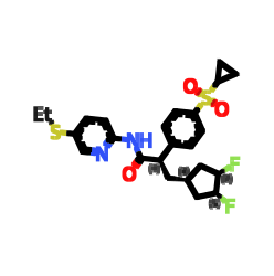 CCSc1ccc(NC(=O)[C@H](C[C@H]2C[C@@H](F)[C@@H](F)C2)c2ccc(S(=O)(=O)C3CC3)cc2)nc1